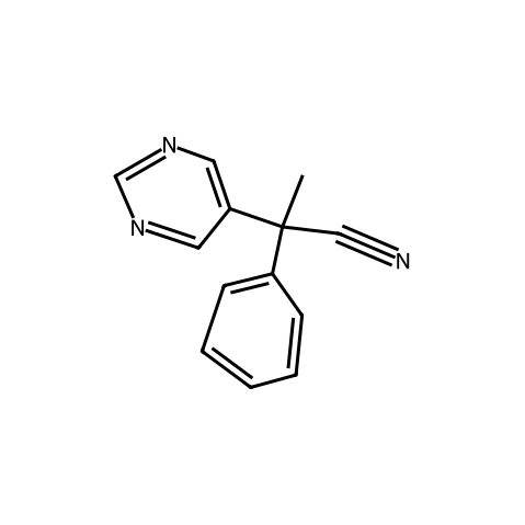 CC(C#N)(c1ccccc1)c1cncnc1